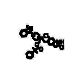 CC(C)(C(=O)OC[N+]1(CCc2cc3c(cc2Cl)NC(=O)C3)CCN(c2nsc3ccccc23)CC1)c1ccccc1